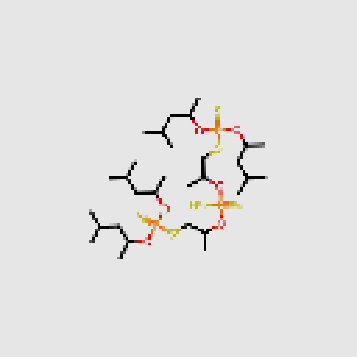 CC(C)CC(C)OP(=S)(OC(C)CC(C)C)SCC(C)OP(=S)(S)OC(C)CSP(=S)(OC(C)CC(C)C)OC(C)CC(C)C